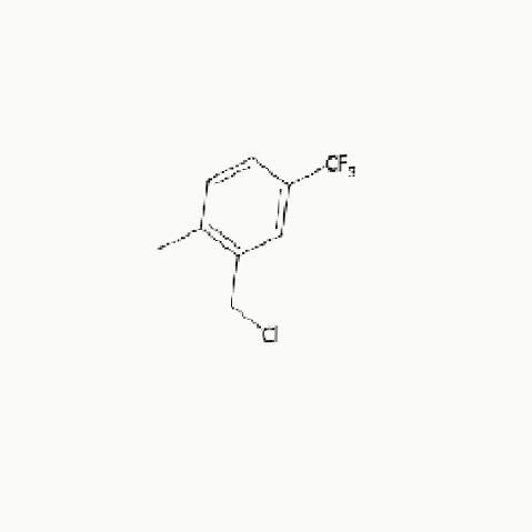 Cc1ccc(C(F)(F)F)cc1CCl